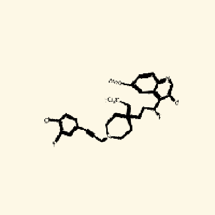 COc1ccc2ncc(Cl)c([C@@H](F)CCC3(CC(=O)O)CCN(CC#Cc4ccc(Cl)c(F)c4)CC3)c2c1